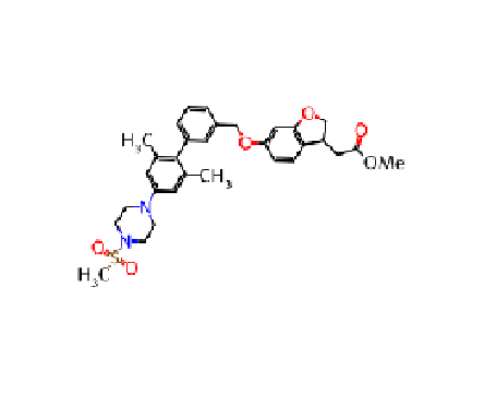 COC(=O)CC1COc2cc(OCc3cccc(-c4c(C)cc(N5CCN(S(C)(=O)=O)CC5)cc4C)c3)ccc21